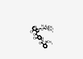 COc1ccccc1C(=O)Nc1ccc(C(=O)c2cn(COCC[Si](C)(C)C)c3nccc(Cl)c23)c(Cl)c1